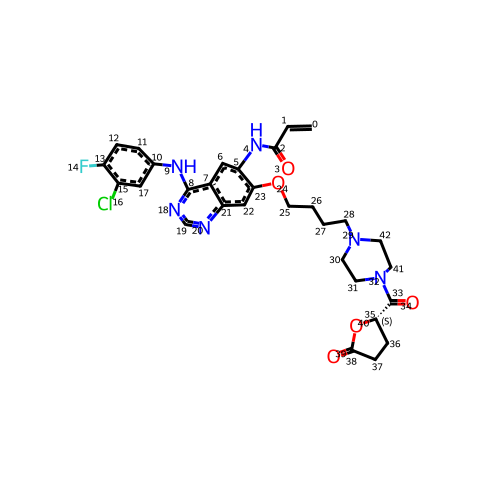 C=CC(=O)Nc1cc2c(Nc3ccc(F)c(Cl)c3)ncnc2cc1OCCCCN1CCN(C(=O)[C@@H]2CCC(=O)O2)CC1